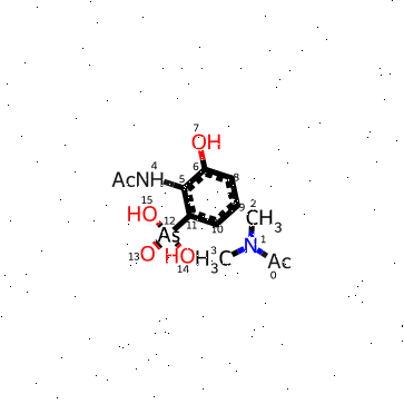 CC(=O)N(C)C.CC(=O)Nc1c(O)cccc1[As](=O)(O)O